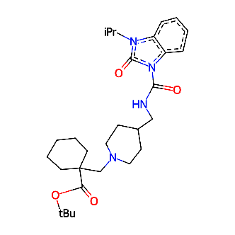 CC(C)n1c(=O)n(C(=O)NCC2CCN(CC3(C(=O)OC(C)(C)C)CCCCC3)CC2)c2ccccc21